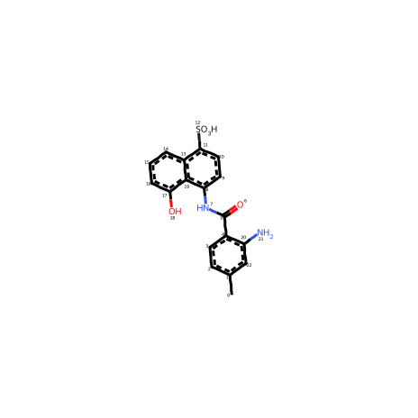 Cc1ccc(C(=O)Nc2ccc(S(=O)(=O)O)c3cccc(O)c23)c(N)c1